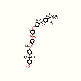 CCC(Oc1ccc(S(=O)(=O)c2ccc(Oc3ccc(C(C)(C)c4ccc(C(C)(CC)C(C)(CC)OC)cc4)cc3)c(S)c2)cc1S)c1ccc(C(C)(C)c2ccc(O)cc2)cc1